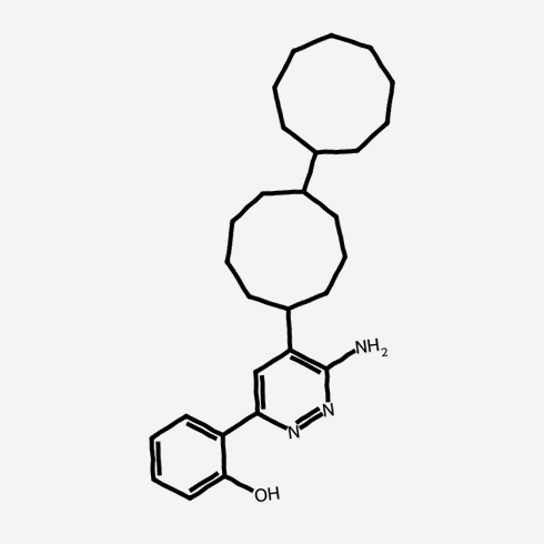 Nc1nnc(-c2ccccc2O)cc1C1CCCCC(C2CCCCCCCC2)CCC1